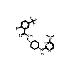 CN(C)c1ccnc(N[C@H]2CC[C@@H](CNC(=O)c3cc(C(F)(F)F)ccc3F)CC2)n1